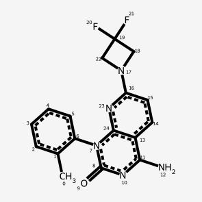 Cc1ccccc1-n1c(=O)nc(N)c2ccc(N3CC(F)(F)C3)nc21